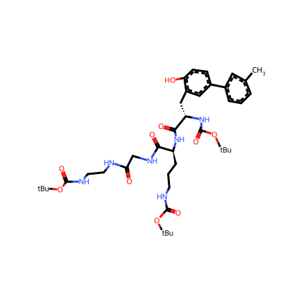 Cc1cccc(-c2ccc(O)c(C[C@H](NC(=O)OC(C)(C)C)C(=O)N[C@@H](CCCNC(=O)OC(C)(C)C)C(=O)NCC(=O)NCCNC(=O)OC(C)(C)C)c2)c1